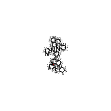 S=P(c1ccccc1)(c1ccccc1)c1cccc2c(-c3ccc4c(c3)N(c3cccnc3)c3cc5cccc6c5c(c3N4c3ccccc3)CC=C6)cccc12